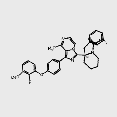 COc1cccc(Oc2ccc(-c3nc([C@@]4(Cc5ccccc5)CCCCN4C(N)=O)n4ccnc(C)c34)cc2)c1F